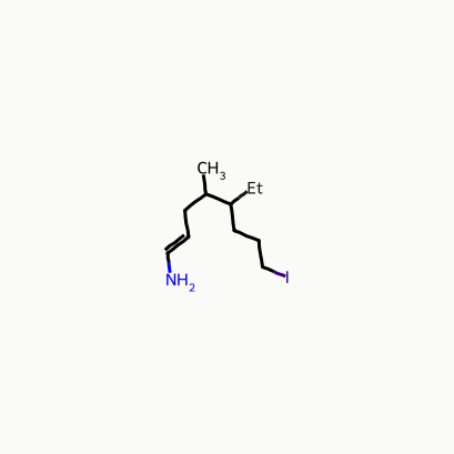 CCC(CCCI)C(C)C/C=C/N